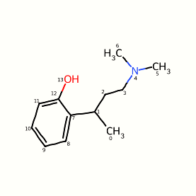 CC(CCN(C)C)c1ccccc1O